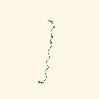 CCCCOCOC=CCCCCCCC=O